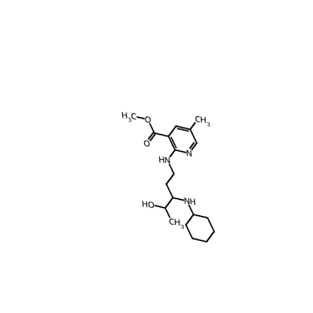 COC(=O)c1cc(C)cnc1NCCC(NC1CCCCC1)C(C)O